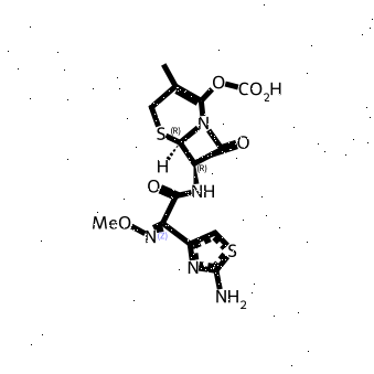 CO/N=C(\C(=O)N[C@@H]1C(=O)N2C(OC(=O)O)=C(C)CS[C@H]12)c1csc(N)n1